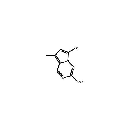 CSc1ncc2c(C)cc(Br)n2n1